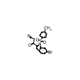 Cc1ccc(S(=O)(=O)n2c(C(=O)CC#N)cc3ccc(Br)cc32)cc1